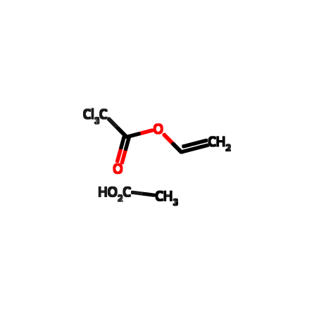 C=COC(=O)C(Cl)(Cl)Cl.CC(=O)O